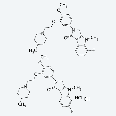 COc1ccc(N2Cc3c(c4ccc(F)cc4n3C)C2=O)cc1OCCN1CCC(C)CC1.COc1ccc(N2Cc3c(c4cccc(F)c4n3C)C2=O)cc1OCCN1CCC(C)CC1.Cl.Cl